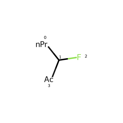 CCCC(F)C(C)=O